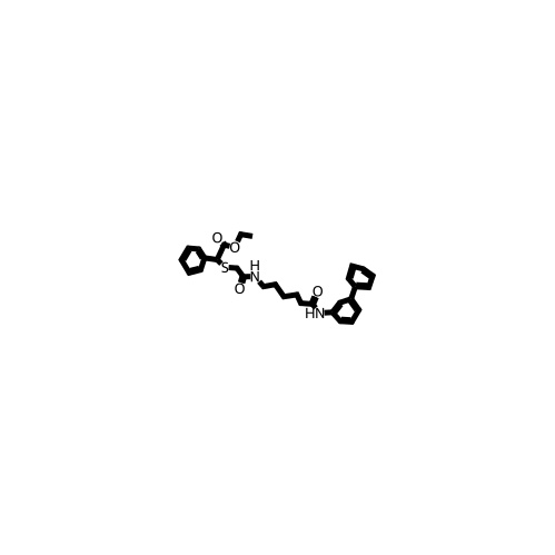 CCOC(=O)C(SCC(=O)NCCCCCC(=O)Nc1cccc(-c2ccccc2)c1)c1ccccc1